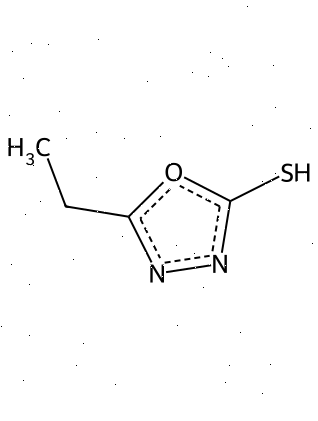 CCc1nnc(S)o1